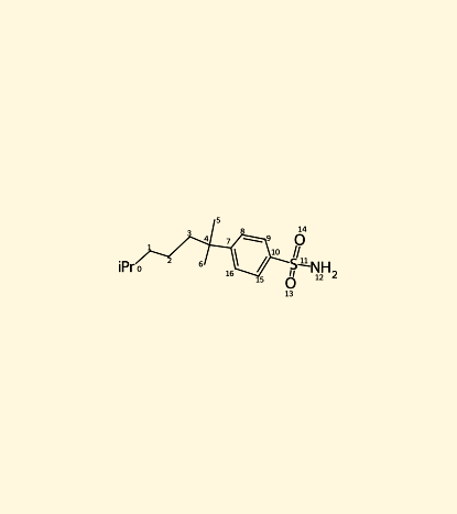 CC(C)CCCC(C)(C)c1ccc(S(N)(=O)=O)cc1